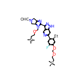 CCc1cc(OCOCC[Si](C)(C)C)c(F)cc1-c1cc2[nH]nc(-c3nc4c(n3COCC[Si](C)(C)C)CN(C=O)C4)c2cn1